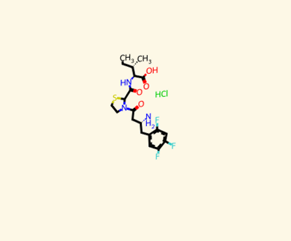 CC[C@H](C)[C@H](NC(=O)C1SCCN1C(=O)C[C@H](N)Cc1cc(F)c(F)cc1F)C(=O)O.Cl